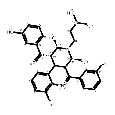 Cc1c(F)cccc1C1C(C(=O)c2cccc(O)c2)[C@H](C)N(CCN(C)C)[C@H](C)[C@H]1C(=O)c1cccc(O)c1